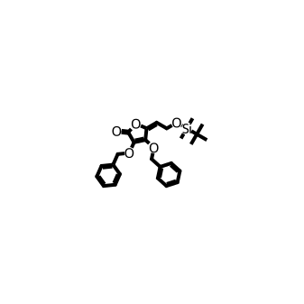 CC(C)(C)[Si](C)(C)OCC=C1OC(=O)C(OCc2ccccc2)=C1OCc1ccccc1